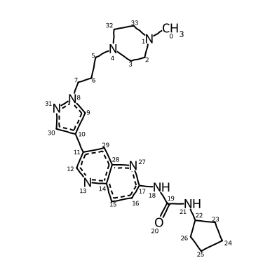 CN1CCN(CCCn2cc(-c3cnc4ccc(NC(=O)NC5CCCC5)nc4c3)cn2)CC1